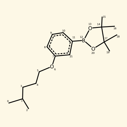 CC(C)CCCOc1cccc(B2OC(C)(C)C(C)(C)O2)c1